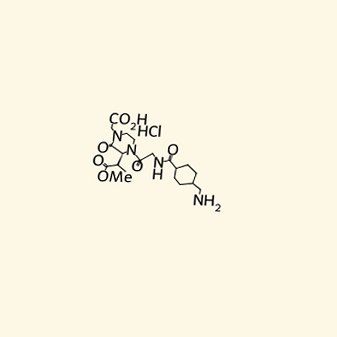 COC(=O)C(C)[C@H]1C(=O)N(CC(=O)O)CCN1C(=O)CNC(=O)C1CCC(CN)CC1.Cl